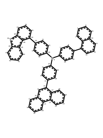 c1ccc2c(-c3ccc(N(c4ccc(-c5cc6ccccc6c6ccccc56)cc4)c4ccc(-c5cccc6sc7ccccc7c56)cc4)cc3)cccc2c1